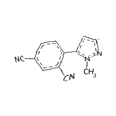 Cn1n[c]cc1-c1ccc(C#N)cc1C#N